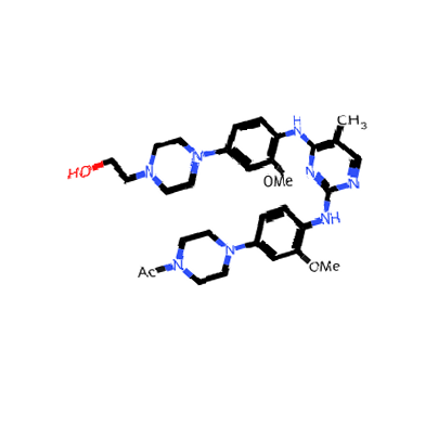 COc1cc(N2CCN(C(C)=O)CC2)ccc1Nc1ncc(C)c(Nc2ccc(N3CCN(CCO)CC3)cc2OC)n1